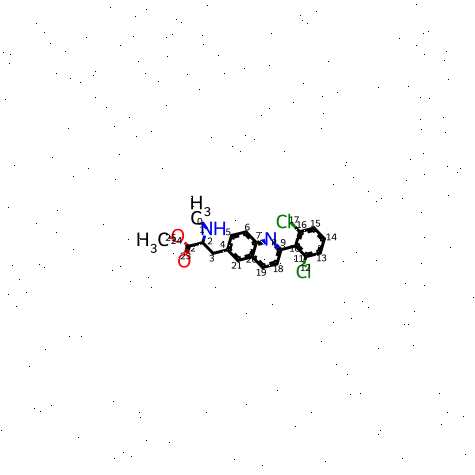 CNC(Cc1ccc2nc(-c3c(Cl)cccc3Cl)ccc2c1)C(=O)OC